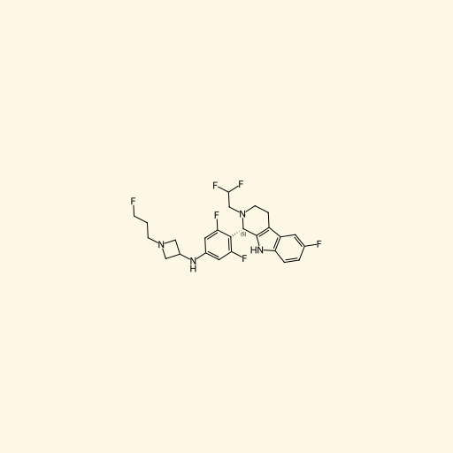 FCCCN1CC(Nc2cc(F)c([C@H]3c4[nH]c5ccc(F)cc5c4CCN3CC(F)F)c(F)c2)C1